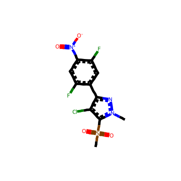 Cn1nc(-c2cc(F)c([N+](=O)[O-])cc2F)c(Cl)c1S(C)(=O)=O